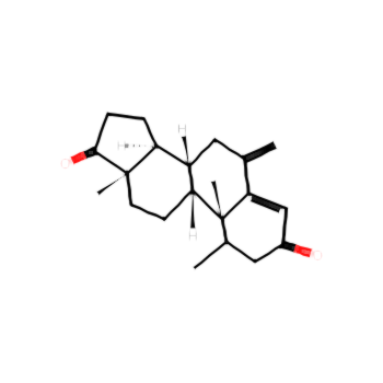 C=C1C[C@@H]2[C@@H](CC[C@]3(C)C(=O)CC[C@@H]23)[C@]2(C)C1=CC(=O)CC2C